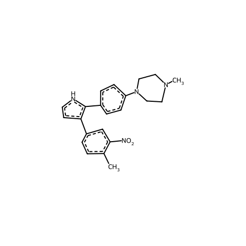 Cc1ccc(-c2cc[nH]c2-c2ccc(N3CCN(C)CC3)cc2)cc1[N+](=O)[O-]